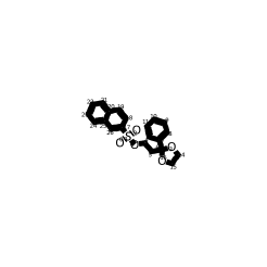 O=S(=O)(OCCC1(c2ccccc2)OCCO1)c1ccc2ccccc2c1